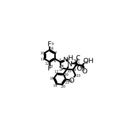 CC(=O)N1N=C(c2cc(F)ccc2F)SC12c1ccccc1OCC2CC(=O)O